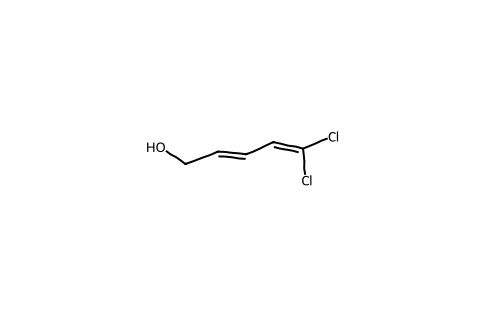 OCC=CC=C(Cl)Cl